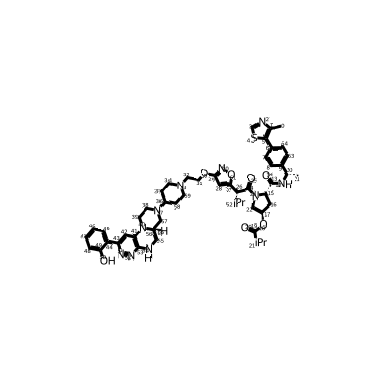 Cc1ncsc1-c1ccc([C@H](C)NC(=O)[C@@H]2C[C@@H](OC(=O)C(C)C)CN2C(=O)[C@@H](c2cc(OCCN3CCC(N4CCN5c6cc(-c7ccccc7O)nnc6NC[C@H]5C4)CC3)no2)C(C)C)cc1